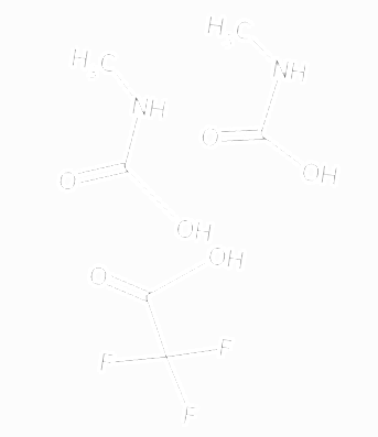 CNC(=O)O.CNC(=O)O.O=C(O)C(F)(F)F